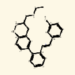 CCOCC1Cc2cc(-c3ccccc3/C=C/c3cccc(F)c3)ccc2OO1